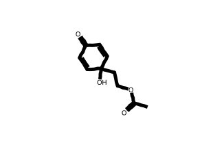 CC(=O)OCCC1(O)C=CC(=O)C=C1